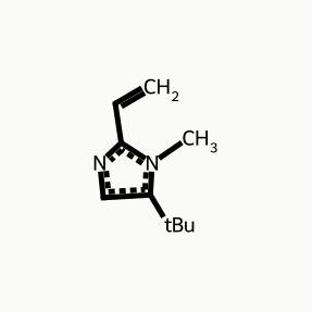 C=Cc1ncc(C(C)(C)C)n1C